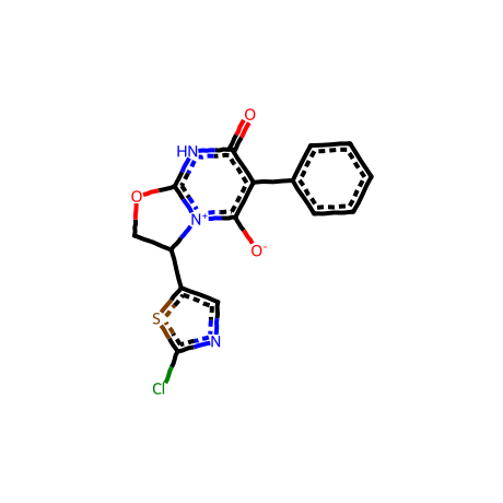 O=c1[nH]c2[n+](c([O-])c1-c1ccccc1)C(c1cnc(Cl)s1)CO2